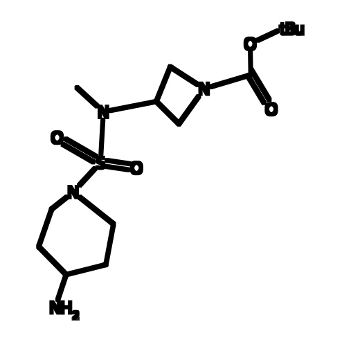 CN(C1CN(C(=O)OC(C)(C)C)C1)S(=O)(=O)N1CCC(N)CC1